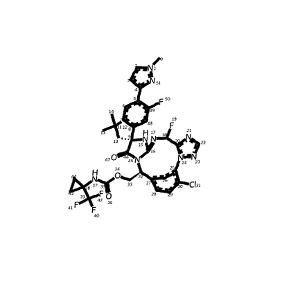 Cn1ccc(-c2ccc([C@@]3(CC(C)(C)C)N/C4=N\C(F)c5ncnn5-c5cc(ccc5Cl)[C@@H](COC(=O)NC5(C(F)(F)F)CC5)N4C3=O)cc2F)n1